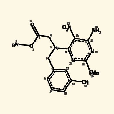 CCCOC(=O)CN(Cc1cccc(C#N)c1)c1nc(SC)nc(N)c1[N+](=O)[O-]